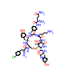 NCCCC[C@@H]1NC(=O)[C@@H](Cc2ccc(NC(=O)[C@@H](N)CCC(N)=O)cc2)NC(=O)[C@H](Cc2ccc(O)cc2)NC(=O)[C@H](NC(=O)[C@@H](N)Cc2ccc(Cl)cc2)CSSC2[C@@H](C(=O)N[C@H](Cc3ccc(O)cc3)C(N)=O)NC(=O)[C@@H](NC1=O)[C@@H]2O